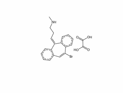 CNCCC=C1c2ccccc2C=C(Br)c2ccccc21.O=C(O)C(=O)O